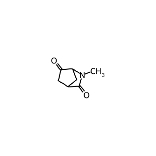 CN1C(=O)C2CC(=O)C1C2